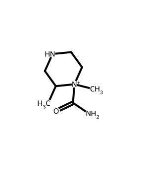 CC1CNCC[N+]1(C)C(N)=O